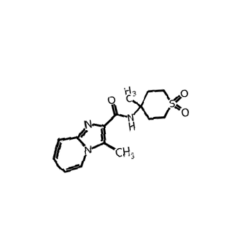 Cc1c(C(=O)NC2(C)CCS(=O)(=O)CC2)nc2ccccn12